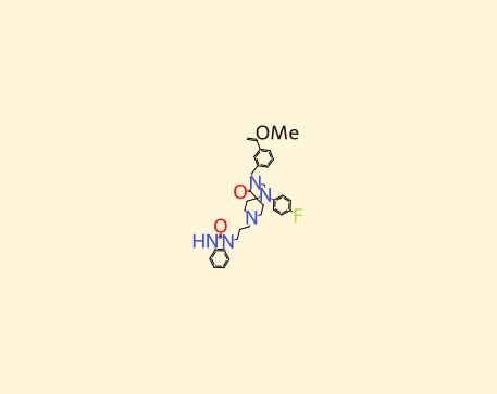 C=C(OC)c1cccc(CN2CN(c3ccc(F)cc3)C3(CCN(CCCn4c(=O)[nH]c5ccccc54)CC3)C2=O)c1